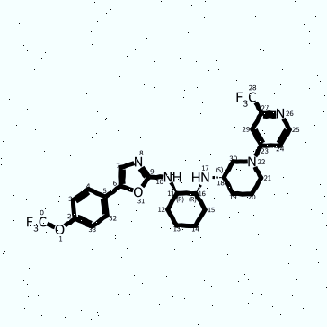 FC(F)(F)Oc1ccc(-c2cnc(N[C@@H]3CCCC[C@H]3N[C@H]3CCCN(c4ccnc(C(F)(F)F)c4)C3)o2)cc1